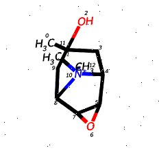 CC1(O)CC2C3OC3C(C1)[N+]2(C)C